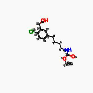 CC(C)(C)OC(=O)NCCCCc1ccc(Cl)c(CO)c1